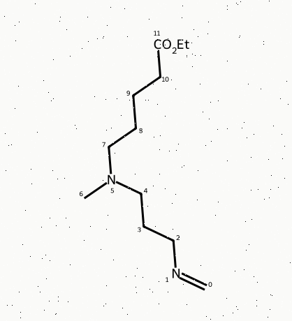 C=NCCCN(C)CCCCC(=O)OCC